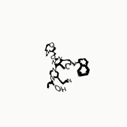 C=CC(O)N1CCN(c2nc(OC[C@@H]3COCCN3C)nc3c2CCN(c2cccc4ccccc24)C3)CC1CC#N